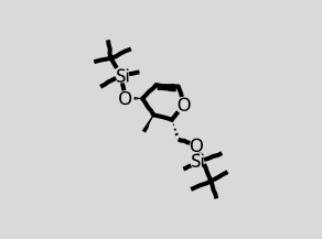 C[C@H]1[C@H](O[Si](C)(C)C(C)(C)C)C=CO[C@@H]1CO[Si](C)(C)C(C)(C)C